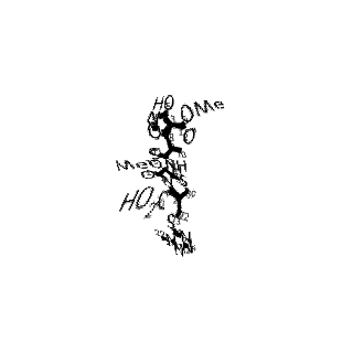 COC(=O)c1c(O)noc1C(C)C(=S)N[C@]1(OC)C(=O)N2C(C(=O)O)=C(CSc3nnnn3C)CS[C@H]21